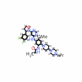 C=CC(=O)Nc1cc(Nc2cc(N3OCCC3c3ccc(F)c(F)c3)ncn2)c(OC)cc1N1CCC(N2CCN(CCC)CC2)CC1